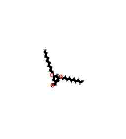 CCCCCCCCCCOc1cc(C=O)cc(OCCCCCCCCCC)c1